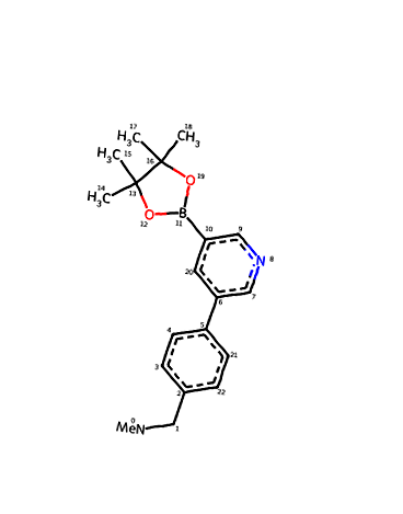 CNCc1ccc(-c2cncc(B3OC(C)(C)C(C)(C)O3)c2)cc1